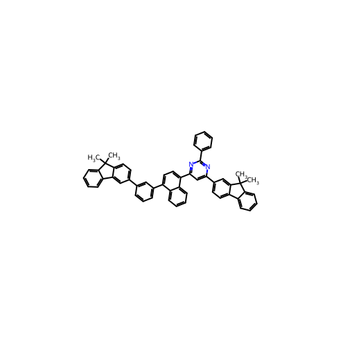 CC1(C)c2ccccc2-c2cc(-c3cccc(-c4ccc(-c5cc(-c6ccc7c(c6)C(C)(C)c6ccccc6-7)nc(-c6ccccc6)n5)c5ccccc45)c3)ccc21